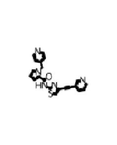 O=C(Nc1nc(C#Cc2cccnc2)cs1)c1cccn1Cc1ccncc1